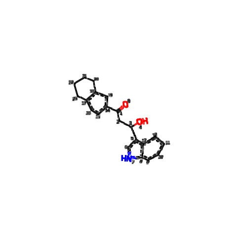 O=C(CC(O)c1c[nH]c2ccccc12)c1ccc2c(c1)CCCC2